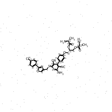 [C-]#[N+]c1c(N)nc(SCc2coc(-c3ccc(Cl)cc3)n2)c(C#N)c1-c1ccc(OC[C@@H](COC(=O)[C@@H](C)N)OC(=O)[C@@H](C)N)cc1